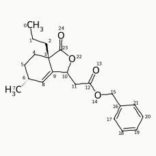 CCC[C@]12CC[C@@H](C)C=C1C(CC(=O)OCc1ccccc1)OC2=O